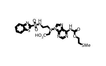 CSCCOC(=O)Nc1ncnc2c1ncn2N(CCNS(=O)(=O)c1nc2ccccc2s1)CC(=O)O